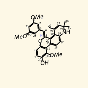 COc1cc(/C=C2\Oc3ccc(O)c(OC)c3-c3ccc4c(c32)C(C)=CC(C)(C)N4)cc(OC)c1